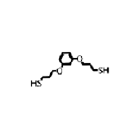 SCCCOc1cccc(OCCCS)c1